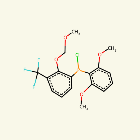 COCOc1c(P(Cl)c2c(OC)cccc2OC)cccc1C(F)(F)F